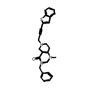 CN1CN(Cc2ccccc2)C(=O)C2=C1CCN(CC#Cc1cc3ccccc3s1)C2